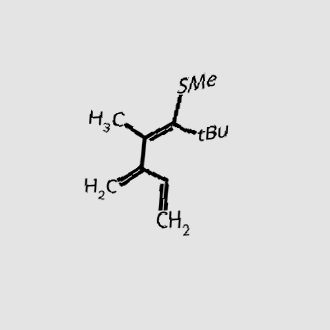 C=CC(=C)/C(C)=C(/SC)C(C)(C)C